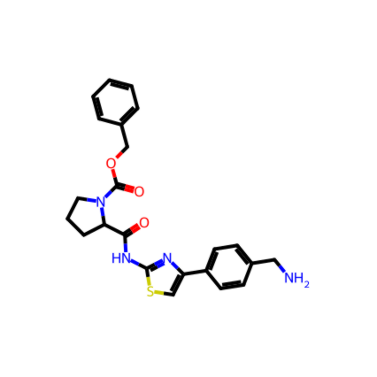 NCc1ccc(-c2csc(NC(=O)C3CCCN3C(=O)OCc3ccccc3)n2)cc1